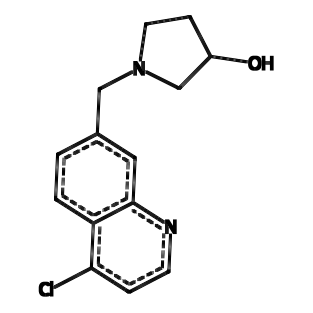 OC1CCN(Cc2ccc3c(Cl)ccnc3c2)C1